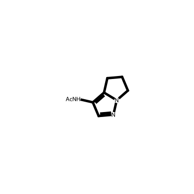 CC(=O)Nc1cnn2c1CCC2